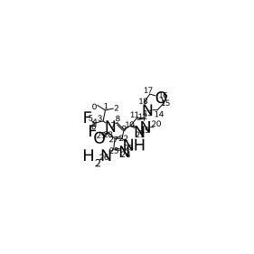 CC(C)C(C(F)F)n1cc(-c2cc(N3CCOCC3)n(C)n2)c2[nH]nc(N)c2c1=O